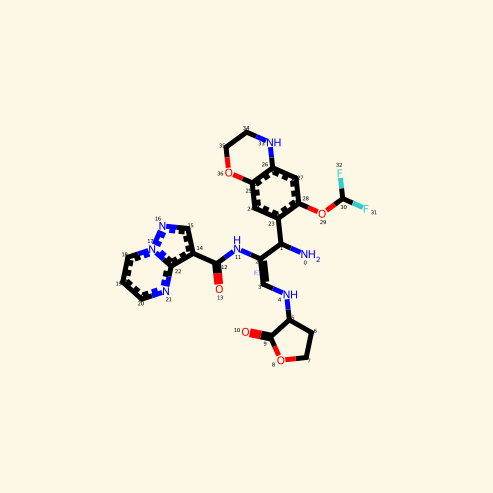 NC(/C(=C\NC1CCOC1=O)NC(=O)c1cnn2cccnc12)c1cc2c(cc1OC(F)F)NCCO2